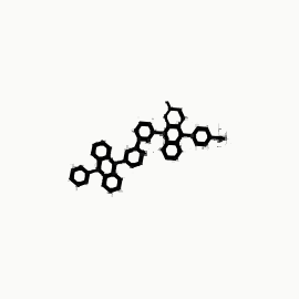 CC1C=Cc2c(c(-c3cccc4c3sc3ccc(-c5c6ccccc6c(-c6ccccc6)c6ccccc56)cc34)c3ccccc3c2-c2ccc(C(F)(F)F)cc2)C1